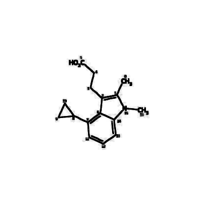 Cc1c(CCC(=O)O)c2c(C3CC3)cccc2n1C